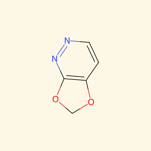 c1cc2c(nn1)OCO2